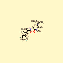 CN[C@H](C(=O)N[C@H](C(=O)N(C)[C@H](/C=C(\C)C(=O)O)C(C)C)C(C)(C)C)C(C)(C)c1cc(F)cc(F)c1